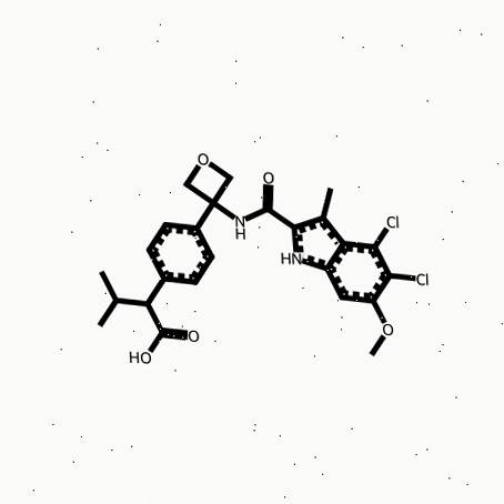 COc1cc2[nH]c(C(=O)NC3(c4ccc(C(C(=O)O)C(C)C)cc4)COC3)c(C)c2c(Cl)c1Cl